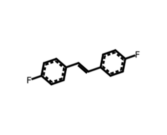 Fc1ccc(/C=C/c2ccc(F)cc2)cc1